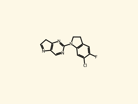 Fc1cc2c(cc1Cl)N(c1ncc3c(n1)CC=N3)CC2